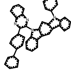 c1ccc(-c2ccc(-c3nc4ccccc4nc3-n3c4ccccc4c4cc5c6ccccc6n(-c6ccccc6)c5cc43)cc2)cc1